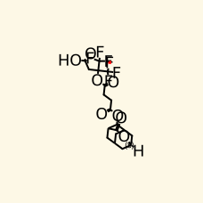 O=C(O)CC(OC(=O)CCC(=O)OC1C2CC3CC1C(=O)O[C@@H](C3)C2)(C(F)(F)F)C(F)(F)F